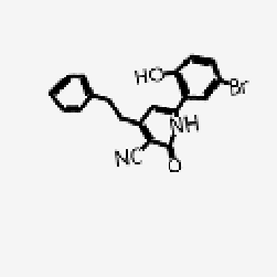 N#Cc1c(CCc2ccccc2)cc(-c2cc(Br)ccc2O)[nH]c1=O